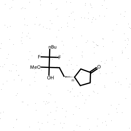 CCCCC(F)(F)C(O)(CC[C@H]1CCC(=O)C1)OC